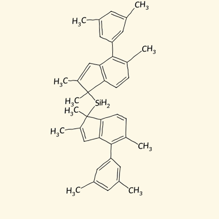 CC1=Cc2c(ccc(C)c2-c2cc(C)cc(C)c2)C1(C)[SiH2]C1(C)C(C)=Cc2c1ccc(C)c2-c1cc(C)cc(C)c1